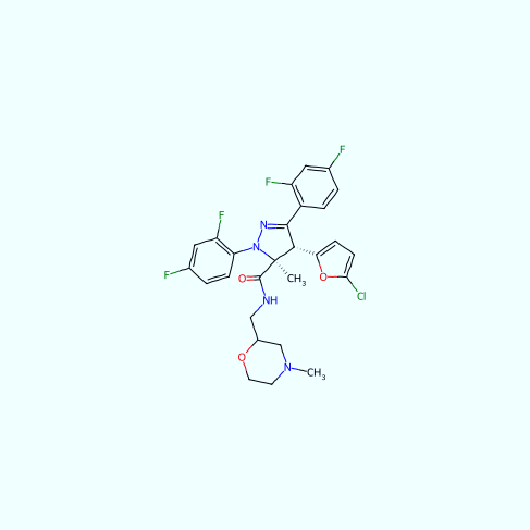 CN1CCOC(CNC(=O)[C@]2(C)[C@@H](c3ccc(Cl)o3)C(c3ccc(F)cc3F)=NN2c2ccc(F)cc2F)C1